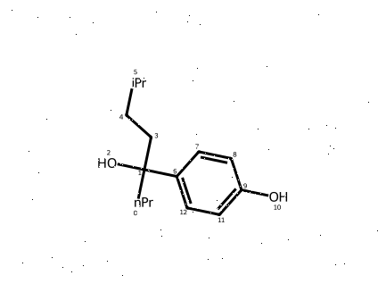 CCCC(O)(CCC(C)C)c1ccc(O)cc1